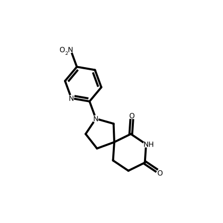 O=C1CCC2(CCN(c3ccc([N+](=O)[O-])cn3)C2)C(=O)N1